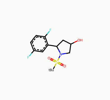 CC(C)(C)S(=O)(=O)N1CC(O)CC1c1cc(F)ccc1F